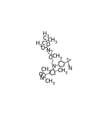 Cc1ccc(-c2c(C)noc2C)cc1N(CCOC1(C)CN(C(=O)OC(C)(C)C)C1)c1ccc(C2(C#N)CC2)cc1